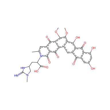 COc1c(OC)c2c(=O)c3cc(C)n(C(CC4CN(C)C(=N)N4)C(=O)O)c(=O)c3c(=O)c2c2cc3c(=O)c4cc(O)cc(O)c4c(=O)c3c(O)c12